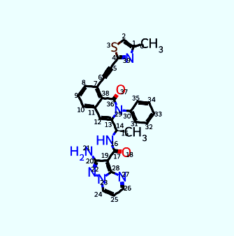 Cc1csc(C#Cc2cccc3cc([C@@H](C)NC(=O)c4c(N)nn5cccnc45)n(-c4ccccc4)c(=O)c23)n1